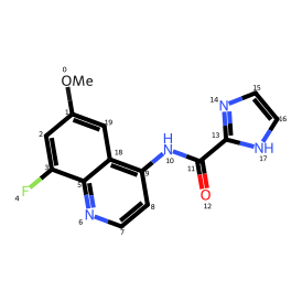 COc1cc(F)c2nccc(NC(=O)c3ncc[nH]3)c2c1